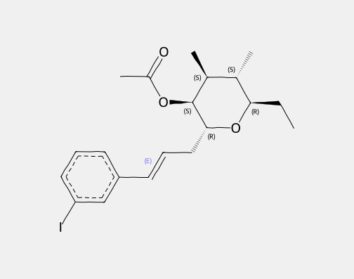 CC[C@H]1O[C@H](C/C=C/c2cccc(I)c2)[C@@H](OC(C)=O)[C@@H](C)[C@@H]1C